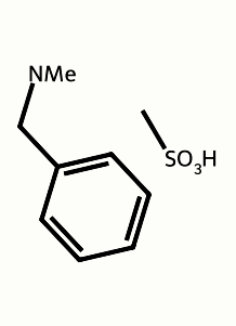 CNCc1ccccc1.CS(=O)(=O)O